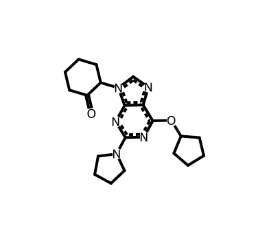 O=C1CCCCC1n1cnc2c(OC3CCCC3)nc(N3CCCC3)nc21